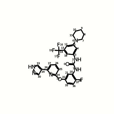 O=C(Nc1cc(N2CCCCC2)cc(C(F)(F)F)c1)Nc1cc(Oc2cccc(-c3cn[nH]c3)n2)ccc1F